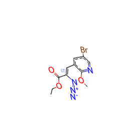 CCOC(=O)/C(=C/c1cc(Br)cnc1OC)N=[N+]=[N-]